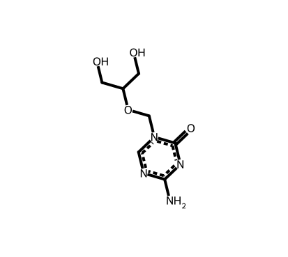 Nc1ncn(COC(CO)CO)c(=O)n1